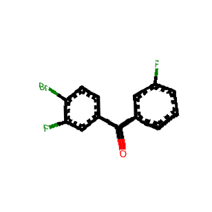 O=C(c1cccc(F)c1)c1ccc(Br)c(F)c1